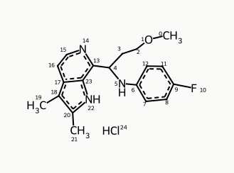 COCCC(Nc1ccc(F)cc1)c1nccc2c(C)c(C)[nH]c12.Cl